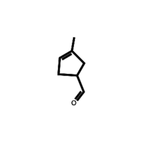 CC1=CCC(C=O)C1